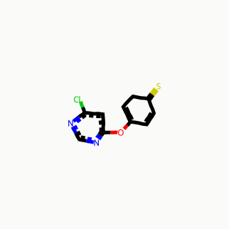 S=C1C=CC(Oc2cc(Cl)ncn2)=CC1